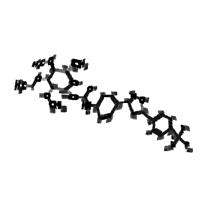 CCO[C@@H]1[C@@H](OC)[C@H](C)O[C@H](OC(=O)Nc2ccc(C3=NOC(c4ccc(C(F)(F)F)cc4)C3)cc2)[C@@H]1OC